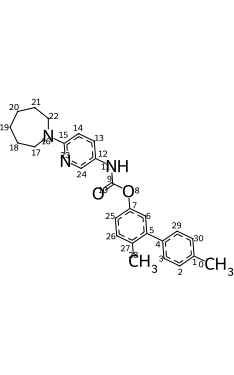 Cc1ccc(-c2cc(OC(=O)Nc3ccc(N4CCCCCC4)nc3)ccc2C)cc1